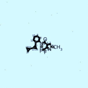 Cn1cc(C(=O)Nc2ccccc2C2CC2C2CC2)c(C(F)(F)F)n1